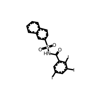 O=C(NS(=O)(=O)c1ccc2ccccc2c1)c1cc(I)cc(I)c1I